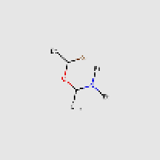 CCC([S])OC(C)N(CC)CC